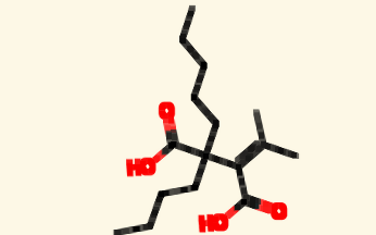 CCCCCC(CCCC)(C(=O)O)C(C(=O)O)=C(C)C